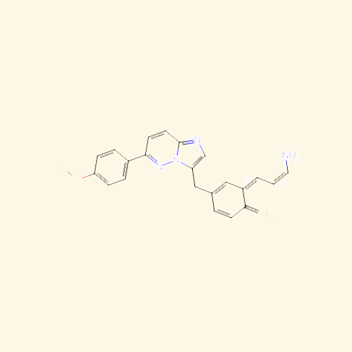 C=c1ccc(Cc2cnc3ccc(-c4ccc(OC(F)(F)F)cc4)nn23)c/c1=C/C=C\N